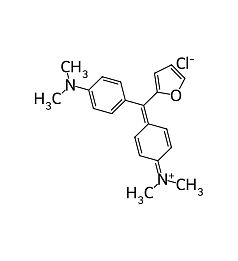 CN(C)c1ccc(C(=C2C=CC(=[N+](C)C)C=C2)c2ccco2)cc1.[Cl-]